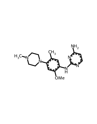 COc1cc(N2CCN(C)CC2)c(C)cc1Nc1nccc(N)n1